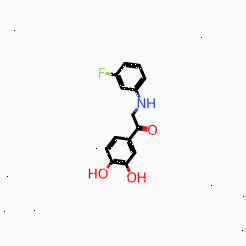 O=C(CNc1cccc(F)c1)c1ccc(O)c(O)c1